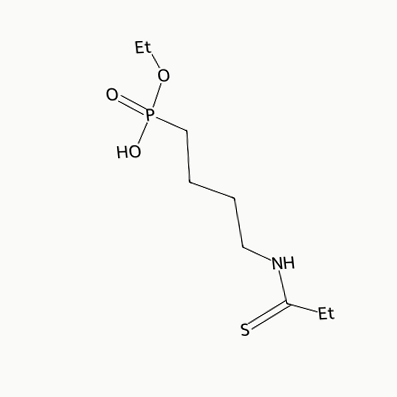 CCOP(=O)(O)CCCCNC(=S)CC